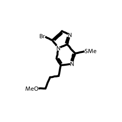 COCCCc1cn2c(Br)cnc2c(SC)n1